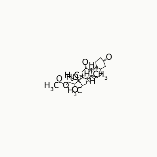 CC(=O)OCC(=O)[C@@]1(O)C(C)C[C@H]2[C@@H]3CCC4CC(=O)CC[C@]4(C)[C@H]3C(=O)C[C@@]21C